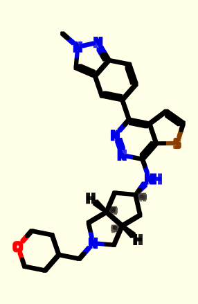 Cn1cc2cc(-c3nnc(N[C@H]4C[C@@H]5CN(CC6CCOCC6)C[C@@H]5C4)c4sccc34)ccc2n1